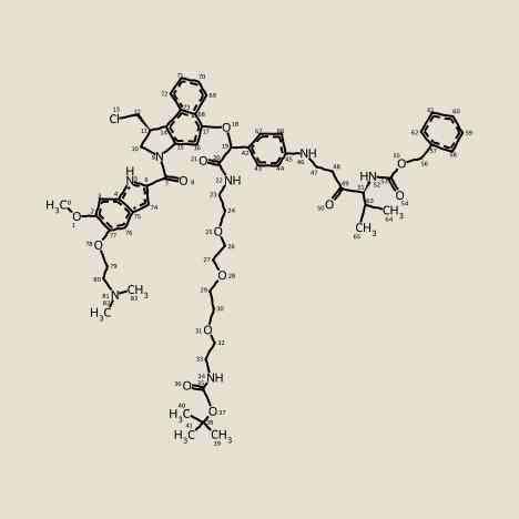 COc1cc2[nH]c(C(=O)N3C[C@@H](CCl)c4c3cc(OC(C(=O)NCCOCCOCCOCCNC(=O)OC(C)(C)C)c3ccc(NCCC(=O)[C@@H](NC(=O)OCc5ccccc5)C(C)C)cc3)c3ccccc43)cc2cc1OCCN(C)C